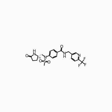 CS(=O)(=O)N(C[C@@H]1CCC(=O)N1)c1ccc(C(=O)NCc2ccc(C(F)(F)F)nc2)cc1